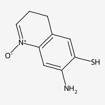 Nc1cc2c(cc1S)CCC=[N+]2[O-]